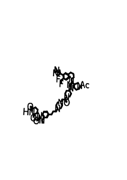 CC(=O)N1CCc2c(c(N3CCCc4cc(-c5cnn(C)c5)c(C(F)F)cc43)nn2C2CCN(C(=O)CN3CCN(CCCc4ccc5c(c4)n(C)c(=O)n5C4CCC(=O)NC4=O)CC3)CC2)C1